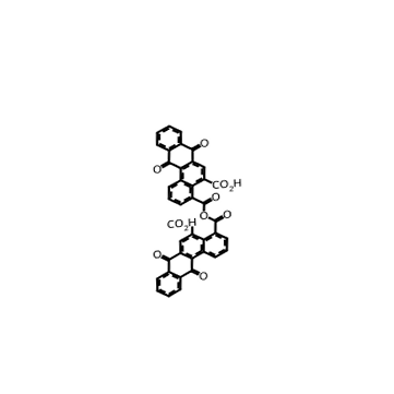 O=C1c2ccccc2C(=O)c2c1cc(C(=O)O)c1c(C(=O)OC(=O)c3cccc4c5c(cc(C(=O)O)c34)C(=O)c3ccccc3C5=O)cccc21